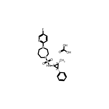 C[C@H]1[C@H](NS(=O)(=O)N2CCCN(c3ccc(F)cn3)CC2)[C@H]1c1ccccc1.O=C(O)O